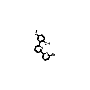 COc1ccc(O)c(-c2cccc(-c3cccc(Br)n3)n2)c1